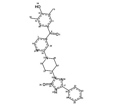 Cc1cc(C(=O)c2ccnc(N3CCC(n4nc(-c5ccccc5)[nH]c4=O)CC3)c2)cc(C)c1O